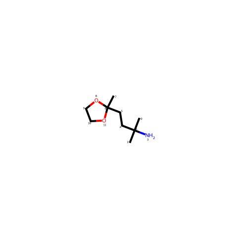 CC(C)(N)CCC1(C)OCCO1